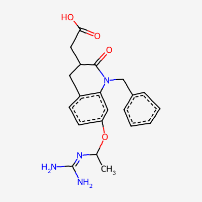 CC(N=C(N)N)Oc1ccc2c(c1)N(Cc1ccccc1)C(=O)C(CC(=O)O)C2